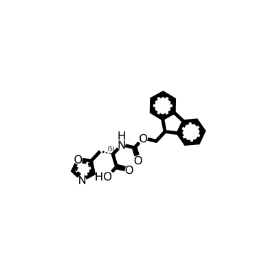 O=C(N[C@@H](Cc1cnco1)C(=O)O)OCC1c2ccccc2-c2ccccc21